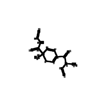 CN(N=O)C(=O)C1=CCC(C)(C(=O)NN=O)C=C1